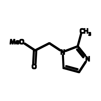 COC(=O)Cn1ccnc1C